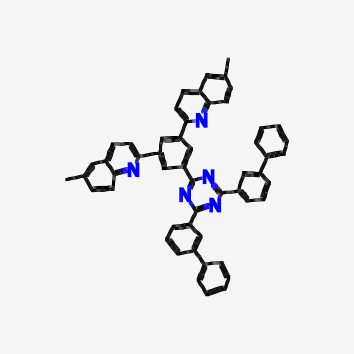 Cc1ccc2nc(-c3cc(-c4ccc5cc(C)ccc5n4)cc(-c4nc(-c5cccc(-c6ccccc6)c5)nc(-c5cccc(-c6ccccc6)c5)n4)c3)ccc2c1